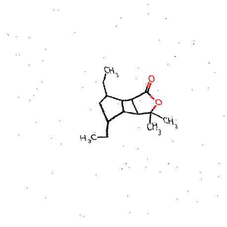 CCC1CC(CC)C2C1C1C(=O)OC(C)(C)C12